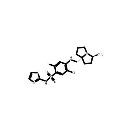 C[C@H]1CC[C@@]2(CNc3cc(F)c(S(=O)(=O)Nc4nccs4)cc3Cl)CCCN12